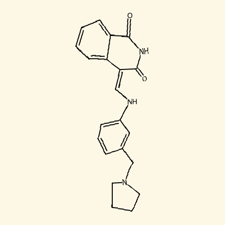 O=C1NC(=O)c2ccccc2C1=CNc1cccc(CN2CCCC2)c1